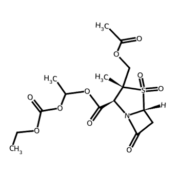 CCOC(=O)OC(C)OC(=O)[C@@H]1N2C(=O)C[C@H]2S(=O)(=O)[C@@]1(C)COC(C)=O